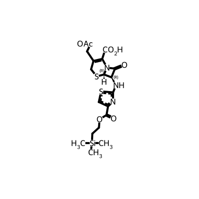 CC(=O)OCC1=C(C(=O)O)N2C(=O)[C@@H](Nc3nc(C(=O)OCC[Si](C)(C)C)cs3)[C@H]2SC1